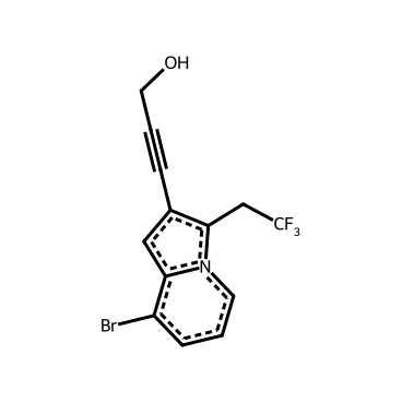 OCC#Cc1cc2c(Br)cccn2c1CC(F)(F)F